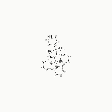 CC(C)(OC(=O)C(c1ccccc1)(c1ccccc1)c1ccccc1)C1CCNCC1